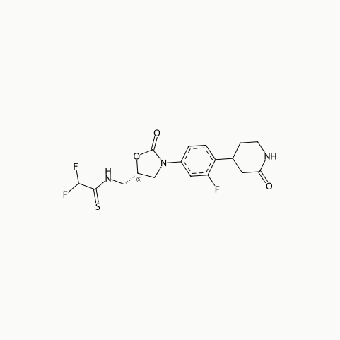 O=C1CC(c2ccc(N3C[C@H](CNC(=S)C(F)F)OC3=O)cc2F)CCN1